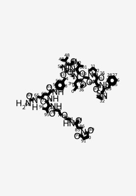 CC[C@H](C)[C@@H]([C@@H](CC(=O)N1CCC[C@H]1[C@H](OC)[C@@H](C)C(=O)N[C@@H](Cc1ccccc1)c1nccs1)OC)N(C)C(=O)[C@@H](NC(=O)[C@H](C(C)C)N(C)C(=O)OCc1ccc(NC(=O)C(CCCNC(N)=O)NC(=O)[C@@H](NC(=O)CCOCCNC(=O)CCN2C(=O)C=CC2=O)C(C)C)cc1)C(C)C